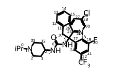 CC(C)N1CCC(NC(=O)NC(Cc2ccccc2)(c2cc(F)cc(C(F)(F)F)c2)c2ccc(Cl)cn2)CC1